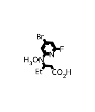 CCC(CC(=O)O)N(C)c1cc(Br)cc(F)n1